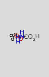 O=C(O)CCNC(=O)CNC(=O)CC(c1ccccc1)(c1ccccc1)c1ccccc1